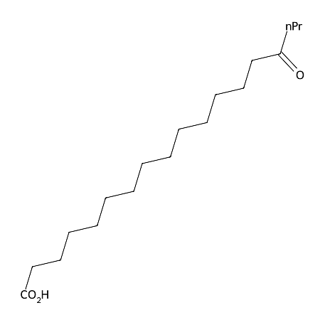 CCCC(=O)CCCCCCCCCCCCCC(=O)O